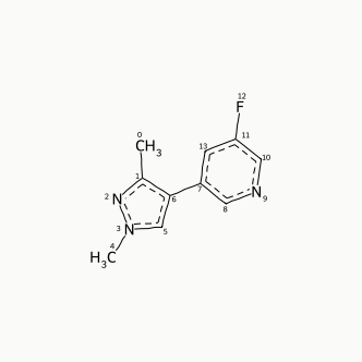 Cc1nn(C)cc1-c1cncc(F)c1